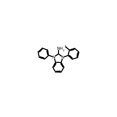 NC1N(c2ccccc2)c2ccccc2N1c1ccccc1I